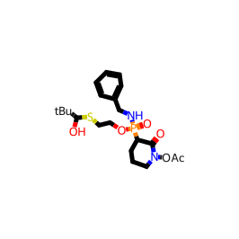 CC(=O)ON1CCCC(P(=O)(NCc2ccccc2)OCCSC(O)C(C)(C)C)C1=O